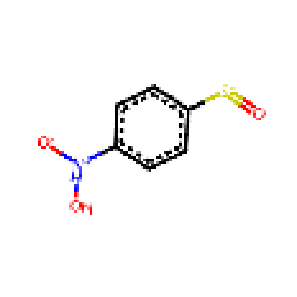 O=[S+]c1ccc([NH+]([O-])O)cc1